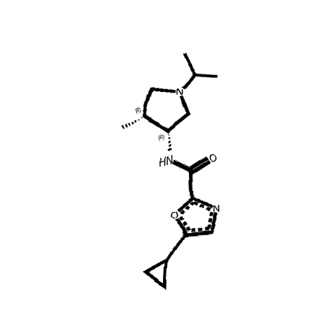 CC(C)N1C[C@@H](C)[C@@H](NC(=O)c2ncc(C3CC3)o2)C1